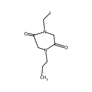 CCCN1CC(=O)N(CI)CC1=O